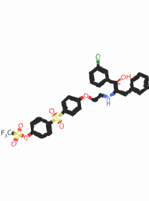 O=S(=O)(c1ccc(OCCNC(Cc2ccccc2)[C@H](O)c2cccc(Cl)c2)cc1)c1ccc(OS(=O)(=O)C(F)(F)F)cc1